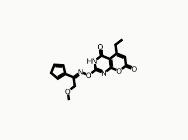 CCc1cc(=O)oc2nc(O/N=C(\COC)C3=CCC=C3)[nH]c(=O)c12